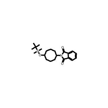 CC(C)(C)[Si](C)(C)OC1CCCC(N2C(=O)c3ccccc3C2=O)CCC1